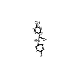 O=C(Nc1ccc(F)cc1)c1cnc(O)cn1